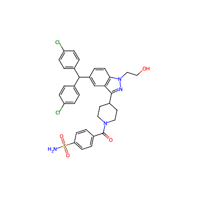 NS(=O)(=O)c1ccc(C(=O)N2CCC(c3nn(CCO)c4ccc(C(c5ccc(Cl)cc5)c5ccc(Cl)cc5)cc34)CC2)cc1